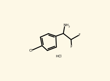 Cl.NC(c1ccc(Cl)cc1)C(F)F